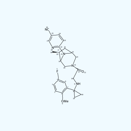 COc1ccc(F)cc1C1(NCC(=O)N2CC3C[C@H](C)C(C2)N3c2ccc(C#N)cn2)CC1